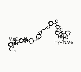 CN[C@@H](C)C(=O)N[C@H](C(=O)N1CCC[C@H]1c1nc(C(=O)c2cccc(OCCCC3CC4(CCN(C[C@H]5CC[C@H](n6cc7cc(NC(=O)c8cccc(C(F)(F)F)n8)c(OC)cc7n6)CC5)CC4)C3)c2)cs1)C1CCCCC1